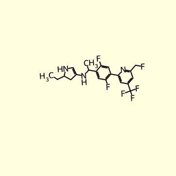 CCC1CC(NC(C)c2cc(F)c(-c3cc(C(F)(F)F)cc(CF)n3)cc2F)=CN1